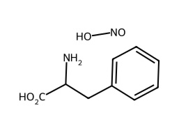 NC(Cc1ccccc1)C(=O)O.O=NO